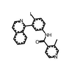 Cc1cnccc1C(=O)Nc1ccc(I)c(-c2nccc3ccccc23)c1